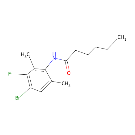 CCCCCC(=O)Nc1c(C)cc(Br)c(F)c1C